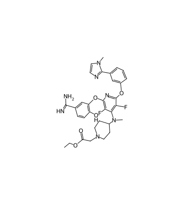 CCOC(=O)CN1CCC(N(C)c2c(F)c(Oc3cccc(-c4nccn4C)c3)nc(Oc3cc(C(=N)N)ccc3O)c2F)CC1